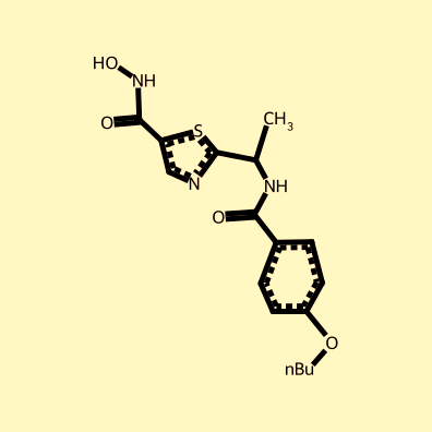 CCCCOc1ccc(C(=O)NC(C)c2ncc(C(=O)NO)s2)cc1